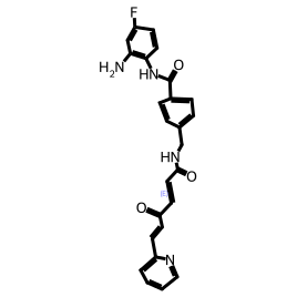 Nc1cc(F)ccc1NC(=O)c1ccc(CNC(=O)/C=C/C(=O)C=Cc2ccccn2)cc1